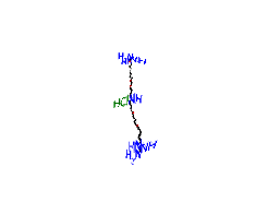 Cl.N=C(N)NCCCCCCCCCCCCNCCCCCCCCCCCCNC(=N)N